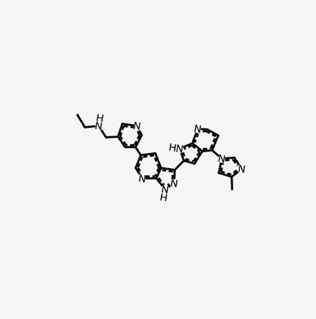 CCNCc1cncc(-c2cnc3[nH]nc(-c4cc5c(-n6cnc(C)c6)ccnc5[nH]4)c3c2)c1